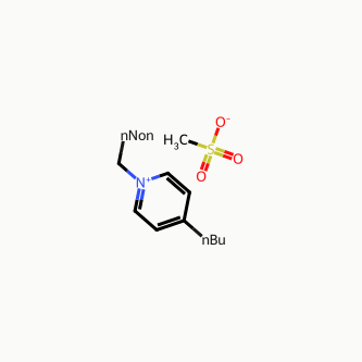 CCCCCCCCCC[n+]1ccc(CCCC)cc1.CS(=O)(=O)[O-]